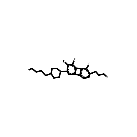 CCCCCC1CCC(c2cc3c(c(F)c2F)-c2c-3ccc(CCCF)c2F)CC1